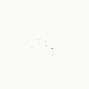 CC(=O)OC1O[C@H](COP)C(OP)C1(F)F